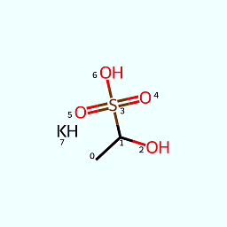 CC(O)S(=O)(=O)O.[KH]